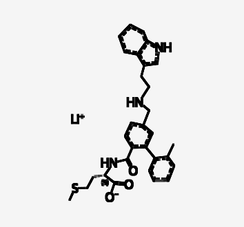 CSCC[C@H](NC(=O)c1ccc(CNCCc2c[nH]c3ccccc23)cc1-c1ccccc1C)C(=O)[O-].[Li+]